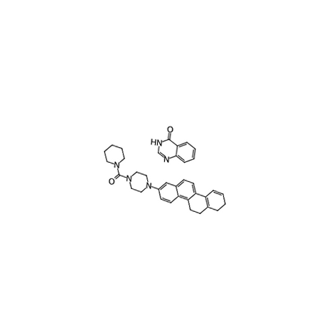 O=C(N1CCCCC1)N1CCN(c2ccc3c4c(ccc3c2)C2=C(CCC=C2)CC4)CC1.O=c1[nH]cnc2ccccc12